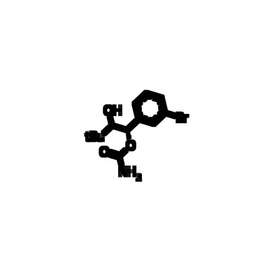 CC(C)(C)C(O)[C@@H](OC(N)=O)c1cccc(Br)c1